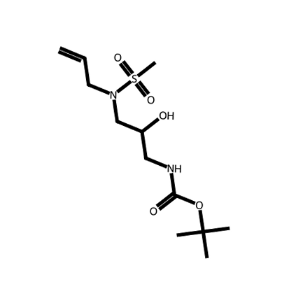 C=CCN(CC(O)CNC(=O)OC(C)(C)C)S(C)(=O)=O